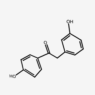 O=C(Cc1cccc(O)c1)c1ccc(O)cc1